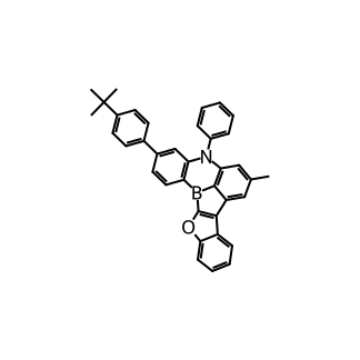 Cc1cc2c3c(c1)N(c1ccccc1)c1cc(-c4ccc(C(C)(C)C)cc4)ccc1B3c1oc3ccccc3c1-2